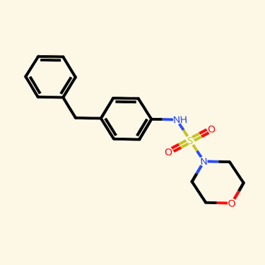 O=S(=O)(Nc1ccc(Cc2ccccc2)cc1)N1CCOCC1